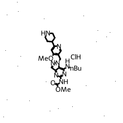 CCCCNc1nc(NC(=O)OC)nc2cnn(Cc3cnc(C4CCNCC4)cc3OC)c12.Cl